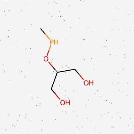 CPOC(CO)CO